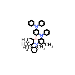 C/C=C1/B2c3ccc(N(c4ccccc4)c4ccccc4)cc3N(c3ccccc3)c3cc(C)cc(c32)N2C1=C(C)C1(C)CCCCC21C